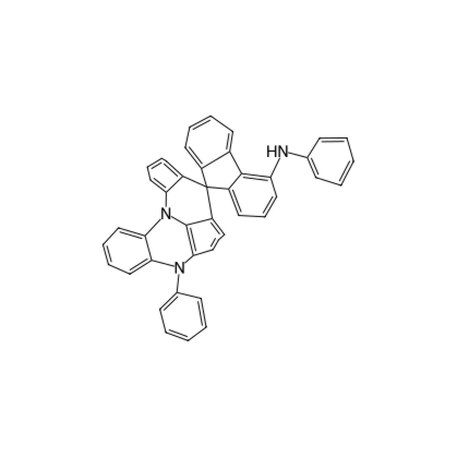 c1ccc(Nc2cccc3c2-c2ccccc2C32c3ccccc3N3c4ccccc4N(c4ccccc4)c4cccc2c43)cc1